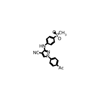 CC(=O)c1ccc(-n2cc(C#N)c(Nc3ccc(S(C)(=O)=O)cc3)n2)cc1